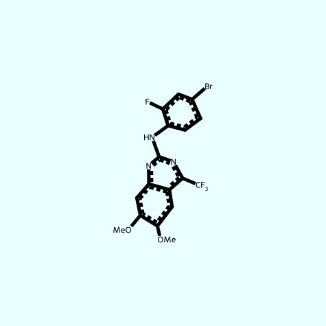 COc1cc2nc(Nc3ccc(Br)cc3F)nc(C(F)(F)F)c2cc1OC